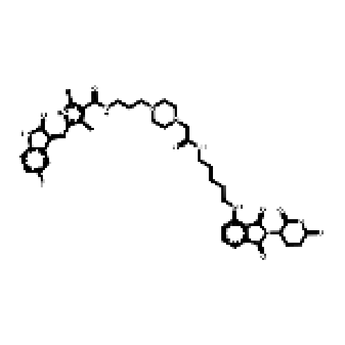 Cc1[nH]c(/C=C2\C(=O)Nc3ccc(F)cc32)c(C)c1C(=O)NCCCN1CCN(CC(=O)NCCCCCNc2cccc3c2C(=O)N(C2CCC(=O)NC2=O)C3=O)CC1